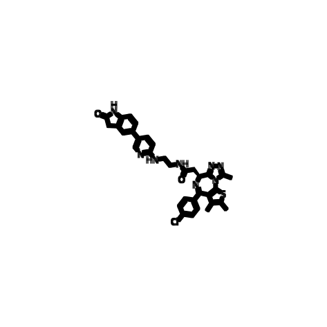 Cc1sc2c(c1C)C(c1ccc(Cl)cc1)=N[C@@H](CC(=O)NCCNc1ccc(-c3ccc4c(c3)CC(=O)N4)cn1)c1nnc(C)n1-2